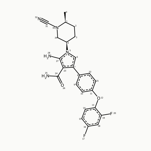 C[C@H]1CC[C@@H](n2cc(-c3ccc(Oc4ccc(F)cc4F)cc3)c(C(N)=O)c2N)CN1C#N